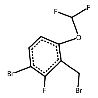 Fc1c(Br)ccc(OC(F)F)c1CBr